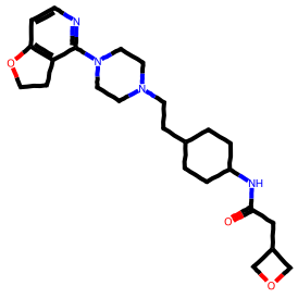 O=C(CC1COC1)NC1CCC(CCN2CCN(c3nccc4c3CCO4)CC2)CC1